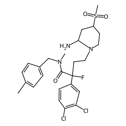 Cc1ccc(CN(C)C(=O)C(F)(CCN2CCC(S(C)(=O)=O)CC2N)c2ccc(Cl)c(Cl)c2)cc1